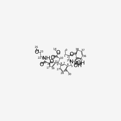 CCC1CN(Cc2cc(C(CC(=O)OC)c3ccc(C(=O)NCCOC)o3)ccc2C)S(O)(O)c2ccccc2O1